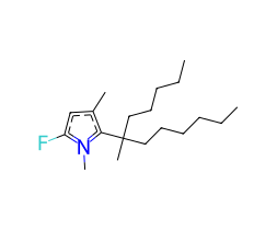 CCCCCCC(C)(CCCCC)c1c(C)cc(F)n1C